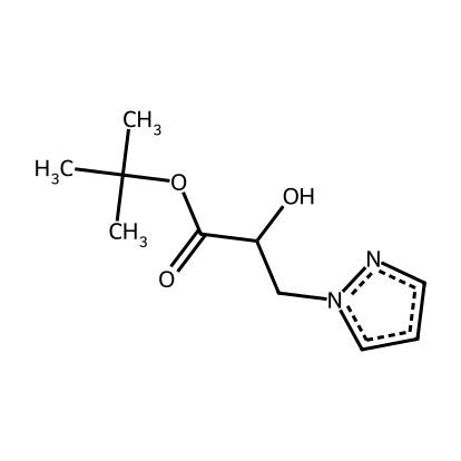 CC(C)(C)OC(=O)C(O)Cn1cccn1